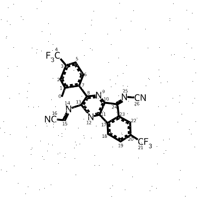 Cc1cc(C(F)(F)F)ccc1-c1nc2c(nc1/N=C/C#N)-c1ccc(C(F)(F)F)cc1/C2=N\C#N